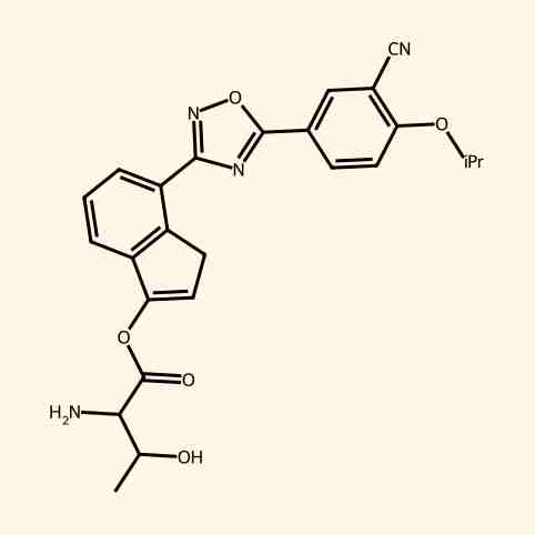 CC(C)Oc1ccc(-c2nc(-c3cccc4c3CC=C4OC(=O)C(N)C(C)O)no2)cc1C#N